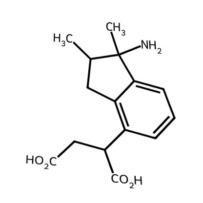 CC1Cc2c(C(CC(=O)O)C(=O)O)cccc2C1(C)N